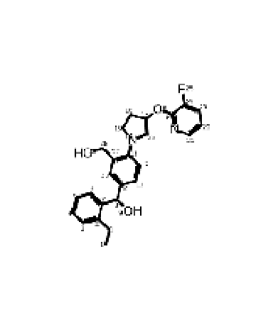 CCc1ccccc1C(O)c1ccc(N2CCC(Oc3ncccc3F)C2)c(CO)c1